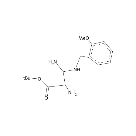 COc1ccccc1CNC(N)C(N)C(=O)OC(C)(C)C